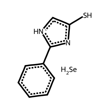 Sc1c[nH]c(-c2ccccc2)n1.[SeH2]